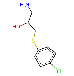 NCC(O)CSc1ccc(Cl)cc1